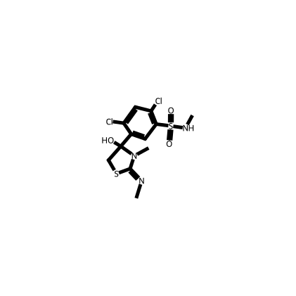 C/N=C1\SCC(O)(c2cc(S(=O)(=O)NC)c(Cl)cc2Cl)N1C